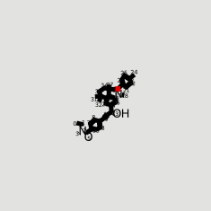 CCN(C)C(=O)c1ccc(C#CC(O)c2cc(N(C)Cc3ccc(C)cc3)c3c(c2)C(C)(C)CCC3(C)C)cc1